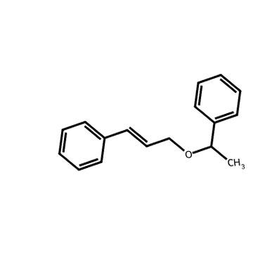 CC(OCC=Cc1ccccc1)c1ccccc1